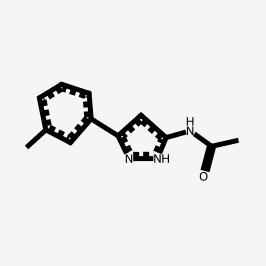 CC(=O)Nc1cc(-c2cccc(C)c2)n[nH]1